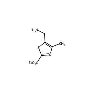 CCOC(=O)c1nc(C)c(CN)s1